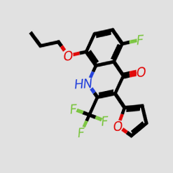 CCCOc1ccc(F)c2c(=O)c(-c3ccco3)c(C(F)(F)F)[nH]c12